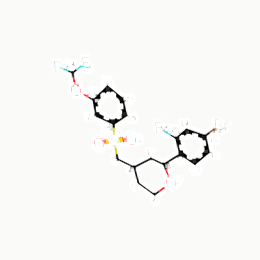 O=S(=O)(CC1CCOC(c2ccc(Br)cc2F)C1)c1cccc(OC(F)F)c1